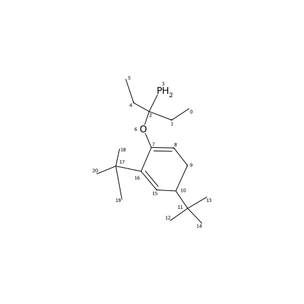 CCC(P)(CC)OC1=CCC(C(C)(C)C)C=C1C(C)(C)C